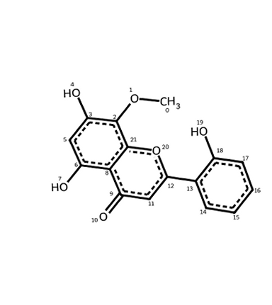 COc1c(O)cc(O)c2c(=O)cc(-c3ccccc3O)oc12